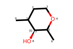 CC1CCOC(C)[C@H]1O